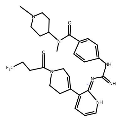 CN1CCC(N(C)C(=O)c2ccc(NC(=N)/N=c3\[nH]cccc3C3=CCN(C(=O)CCC(F)(F)F)CC3)cc2)CC1